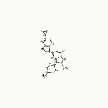 CC1=NC2C(F)=CC(c3c[nH]c4nc(C5CC5)ccc34)=CC2N1C1CCN(C)CC1